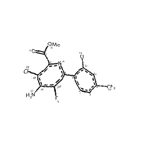 COC(=O)c1nc(-c2ccc(C(F)(F)F)cc2Cl)c(F)c(N)c1Cl